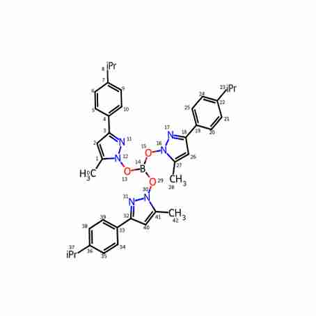 Cc1cc(-c2ccc(C(C)C)cc2)nn1OB(On1nc(-c2ccc(C(C)C)cc2)cc1C)On1nc(-c2ccc(C(C)C)cc2)cc1C